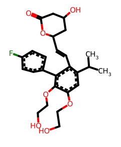 CC(C)c1cc(OCCO)c(OCCO)c(-c2ccc(F)cc2)c1C=CC1CC(O)CC(=O)O1